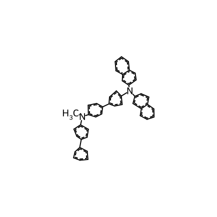 CN(c1ccc(-c2ccccc2)cc1)c1ccc(-c2ccc(N(c3ccc4ccccc4c3)c3ccc4ccccc4c3)cc2)cc1